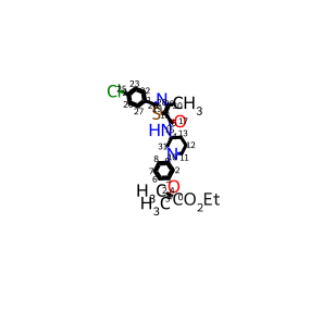 CCOC(=O)C(C)(C)Oc1cccc(N2CCCC(NC(=O)c3sc(-c4ccc(Cl)cc4)nc3C)C2)c1